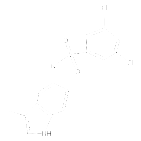 Cc1c[nH]c2ccc(NS(=O)(=O)c3cc(Cl)cc(Cl)c3)cc12